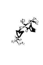 CN(C)S(=O)(=O)c1ccc(ON(C(=O)c2cccc(S(C)(=O)=O)c2)C(N)=NCl)cc1